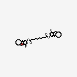 C[C@@]12CCCCCC(Cc3c(F)cc(OC(=O)CCCCCCCCC(=O)Oc4cc(F)c5c(c4)[C@@]4(C)CCCCCC(C5)[C@@H]4N)cc31)C2